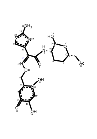 CC(=O)C[C@@H]1CC[C@H](NC(=O)/C(=N\OCc2cc(=O)c(O)cn2O)c2csc(N)n2)B(O)O1